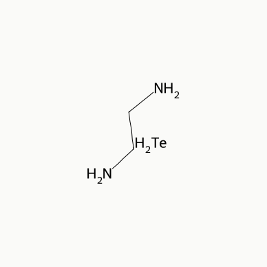 NCCN.[TeH2]